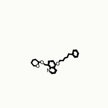 c1ccc(CCCCCOc2ccc(COC3CCCCO3)c3ncccc23)cc1